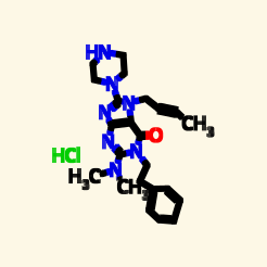 CC#CCn1c(N2CCNCC2)nc2nc(N(C)C)n(CCc3ccccc3)c(=O)c21.Cl